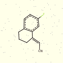 N#CC=C1CCCc2ccc(F)cc21